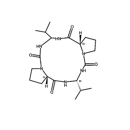 CC(C)C1NC(=O)[C@@H]2CCCN2C(=O)N[C@H](C(C)C)NC(=O)[C@@H]2CCCN2C(=O)N1